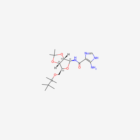 CC1(C)O[C@@H]2[C@H](O1)[C@@H](NC(=O)c1nc[nH]c1N)O[C@H]2CO[Si](C)(C)C(C)(C)C